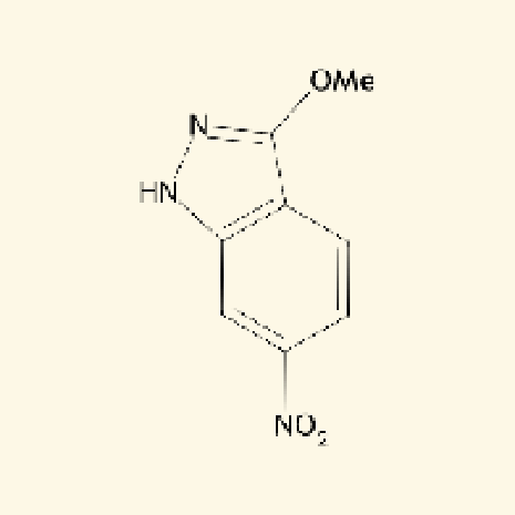 COc1n[nH]c2cc([N+](=O)[O-])ccc12